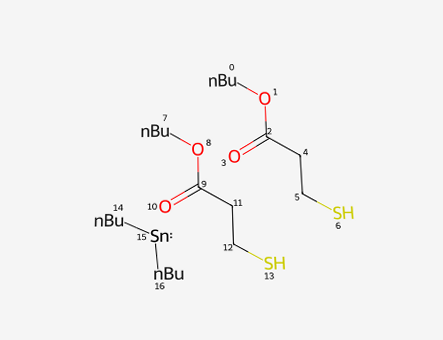 CCCCOC(=O)CCS.CCCCOC(=O)CCS.CCC[CH2][Sn][CH2]CCC